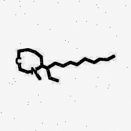 CCCCCCCCCC(CC)C1CCCCCCCN1C